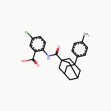 Cc1ccc(C23CC4CC(CC(C(=O)Nc5ccc(Cl)cc5C(=O)O)(C4)C2)C3)cc1